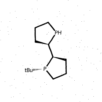 CC(C)(C)[P@@]1CCC[C@@H]1[C@H]1CCCP1